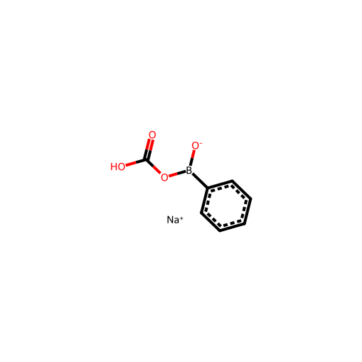 O=C(O)OB([O-])c1ccccc1.[Na+]